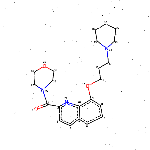 O=C(c1ccc2cccc(OCCCN3CCCCC3)c2n1)N1CCOCC1